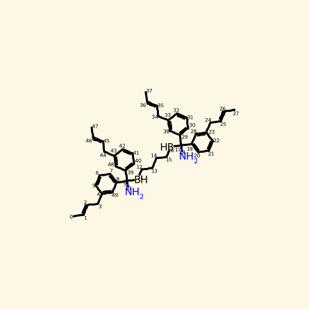 CC=CCc1cccc(C(N)(BCCCCBC(N)(c2cccc(CC=CC)c2)c2cccc(CC=CC)c2)c2cccc(CC=CC)c2)c1